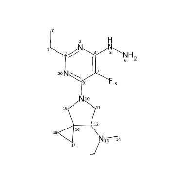 CCc1nc(NN)c(F)c(N2CC(N(C)C)C3(CC3)C2)n1